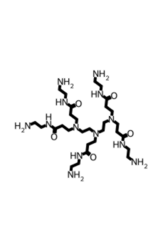 NCCNC(=O)CCN(CCC(=O)NCCN)CCN(CCC(=O)NCCN)CCN(CCC(=O)NCCN)CCC(=O)NCCN